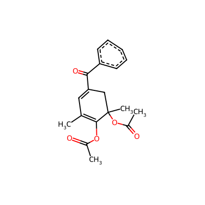 CC(=O)OC1=C(C)C=C(C(=O)c2ccccc2)CC1(C)OC(C)=O